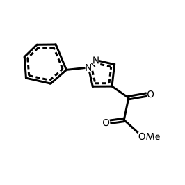 COC(=O)C(=O)c1cnn(-c2ccccc2)c1